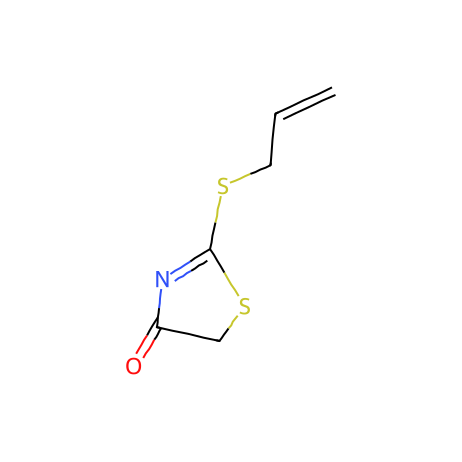 C=CCSC1=NC(=O)CS1